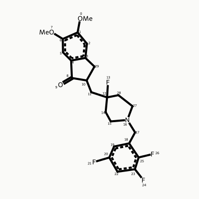 COc1cc2c(cc1OC)C(=O)C(CC1(F)CCN(Cc3cc(F)cc(F)c3F)CC1)C2